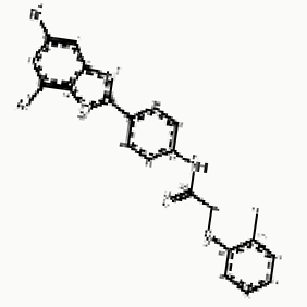 CC(=O)c1cc(Br)cc2nc(-c3ccc(NC(=O)COc4ccccc4C)cc3)oc12